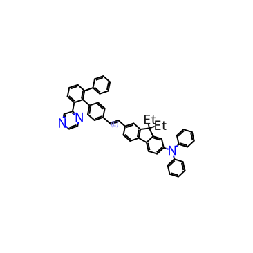 CCC1(CC)c2cc(/C=C/c3ccc(-c4c(-c5ccccc5)cccc4-c4cnccn4)cc3)ccc2-c2ccc(N(c3ccccc3)c3ccccc3)cc21